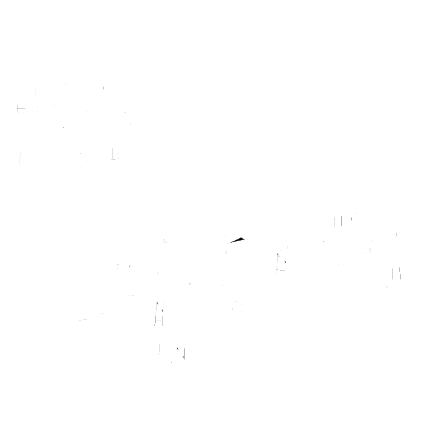 CC(=O)NC1(C(N)=O)C[C@H](CCB2OC(C)(C)C(C)(C)O2)C[C@@H](CNC(=O)OC(C)(C)C)C1